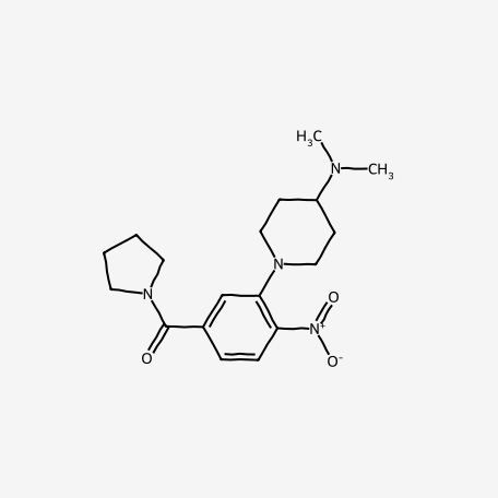 CN(C)C1CCN(c2cc(C(=O)N3CCCC3)ccc2[N+](=O)[O-])CC1